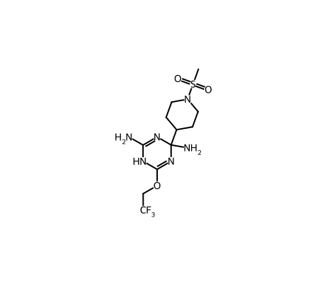 CS(=O)(=O)N1CCC(C2(N)N=C(N)NC(OCC(F)(F)F)=N2)CC1